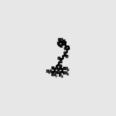 CC(C)[C@H](N)C(=O)OCC(COC(=O)CCC(=O)OC[C@@H]1CC[C@H](n2cnc3c(O)ncnc32)O1)OC(=O)[C@@H](N)C(C)C